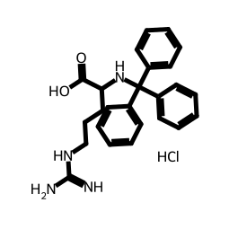 Cl.N=C(N)NCCCC(NC(c1ccccc1)(c1ccccc1)c1ccccc1)C(=O)O